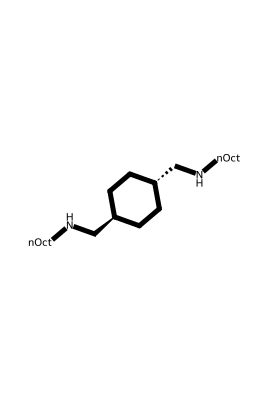 CCCCCCCCNC[C@H]1CC[C@H](CNCCCCCCCC)CC1